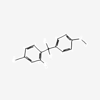 CSc1ccc(C(Cl)(Cl)c2ccc(Cl)cc2Cl)cc1